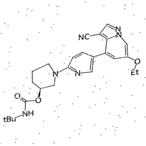 CCOc1cc(-c2ccc(N3CCC[C@H](OC(=O)NC(C)(C)C)C3)nc2)c2c(C#N)cnn2c1